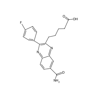 NC(=O)c1ccc2nc(-c3ccc(F)cc3)c(CCCCC(=O)O)nc2c1